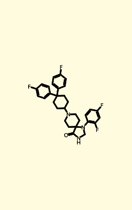 O=C1NCN(c2ccc(F)cc2F)C12CCN(C1CCC(c3ccc(F)cc3)(c3ccc(F)cc3)CC1)CC2